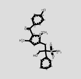 Cc1cc(CC(CO)(c2ccccc2)S(N)(=O)=O)n(C)c1C(=O)c1ccc(Cl)cc1